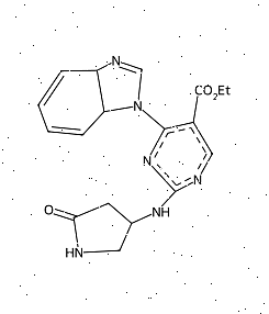 CCOC(=O)c1cnc(NC2CNC(=O)C2)nc1N1C=NC2C=CC=CC21